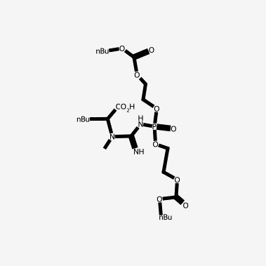 CCCCOC(=O)OCCOP(=O)(NC(=N)N(C)C(CCCC)C(=O)O)OCCOC(=O)OCCCC